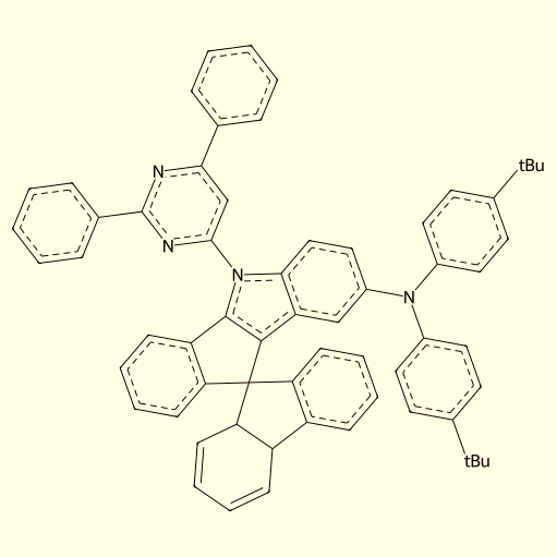 CC(C)(C)c1ccc(N(c2ccc(C(C)(C)C)cc2)c2ccc3c(c2)c2c(n3-c3cc(-c4ccccc4)nc(-c4ccccc4)n3)-c3ccccc3C23c2ccccc2C2C=CC=CC23)cc1